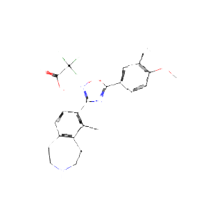 Cc1c(-c2noc(-c3ccc(OC(C)C)c(C#N)c3)n2)ccc2c1CCNCC2.O=C(O)C(F)(F)F